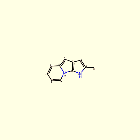 Cc1cc2cc3ccccn3c2[nH]1